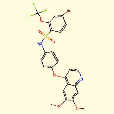 COc1cc2nccc(Oc3ccc(NS(=O)(=O)c4ccc(Br)cc4OC(F)(F)F)cc3)c2cc1OC